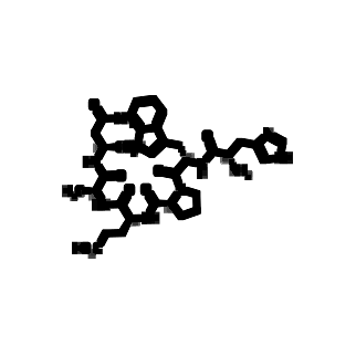 C[C@H](NC(=O)[C@H](CCC(=O)O)NC(=O)[C@@H]1CCCN1C(=O)[C@H](Cc1c[nH]c2ccccc12)NC(=O)[C@@H](N)Cc1c[nH]cn1)C(=O)N[C@@H](CC(N)=O)C(=O)O